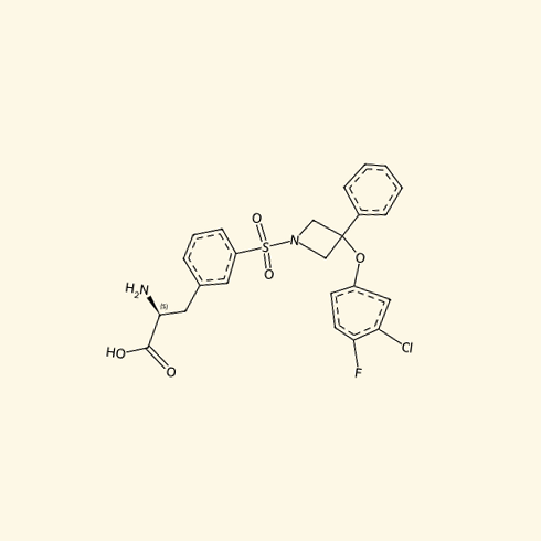 N[C@@H](Cc1cccc(S(=O)(=O)N2CC(Oc3ccc(F)c(Cl)c3)(c3ccccc3)C2)c1)C(=O)O